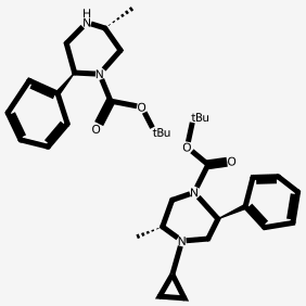 C[C@@H]1CN(C(=O)OC(C)(C)C)[C@@H](c2ccccc2)CN1.C[C@@H]1CN(C(=O)OC(C)(C)C)[C@@H](c2ccccc2)CN1C1CC1